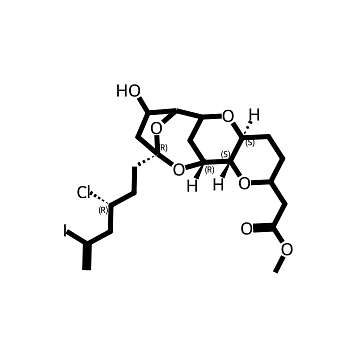 C=C(I)C[C@H](Cl)CC[C@]12CC(O)C(O1)C1C[C@@H](O2)[C@H]2OC(CC(=O)OC)CC[C@@H]2O1